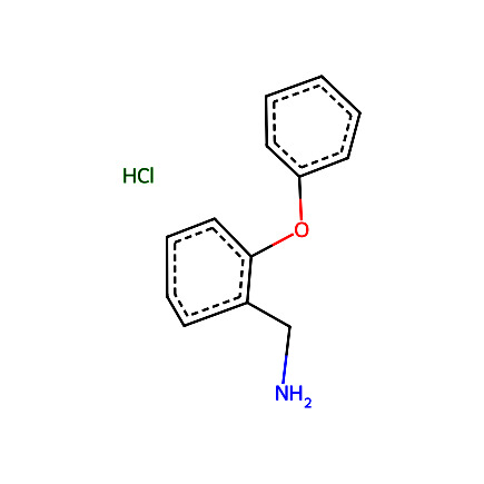 Cl.NCc1ccccc1Oc1ccccc1